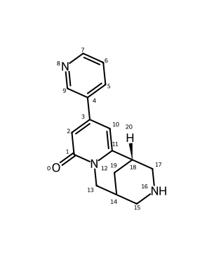 O=c1cc(-c2cccnc2)cc2n1CC1CNC[C@@H]2C1